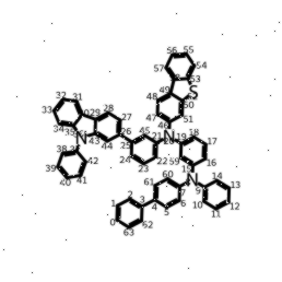 c1ccc(-c2ccc(N(c3ccccc3)c3cccc(N(c4cccc(-c5ccc6c7ccccc7n(-c7ccccc7)c6c5)c4)c4ccc5c(c4)sc4ccccc45)c3)cc2)cc1